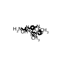 Cc1nc(Oc2cc(C#N)ccc2-c2ncc(C(O)CN)cn2)cc(N2CCOC(C)(C)C2)n1